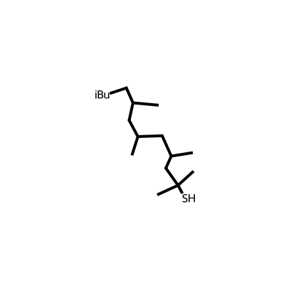 CCC(C)CC(C)CC(C)CC(C)CC(C)(C)S